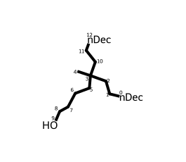 CCCCCCCCCCCCC(C)(CCCCO)CCCCCCCCCCCC